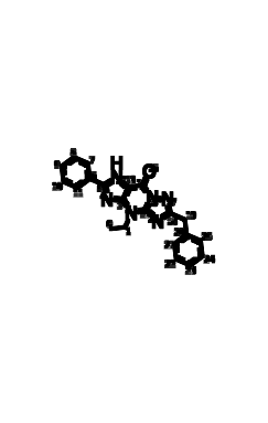 CCn1c2nc(-c3ccccc3)[nH]c2c(=O)n2nc(Cc3ccccc3)nc12